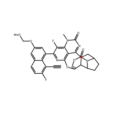 C#Cc1c(F)ccc2cc(OCOC)cc(-c3nc4c5c(nc(=O)n(C)c5c3F)N3CC5CCC(C3CO4)N5C(=O)OC(C)(C)C)c12